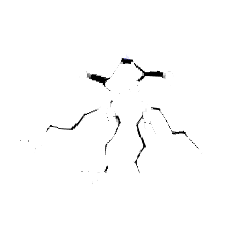 CCC[CH2][SnH]([CH2]CCC)[O]C(=O)/C=C\C(=O)[O][SnH]([CH2]CCC)[CH2]CCC